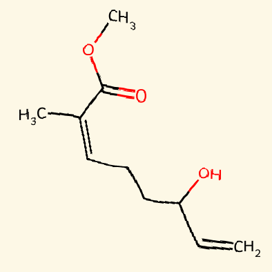 C=CC(O)CCC=C(C)C(=O)OC